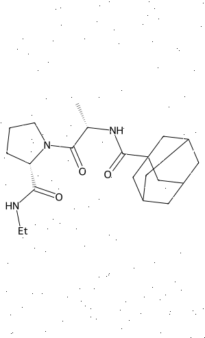 CCNC(=O)[C@@H]1CCCN1C(=O)[C@H](C)NC(=O)C12CC3CC(CC(C3)C1)C2